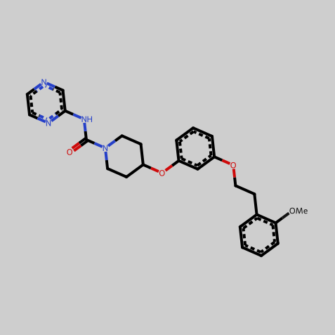 COc1ccccc1CCOc1cccc(OC2CCN(C(=O)Nc3cnccn3)CC2)c1